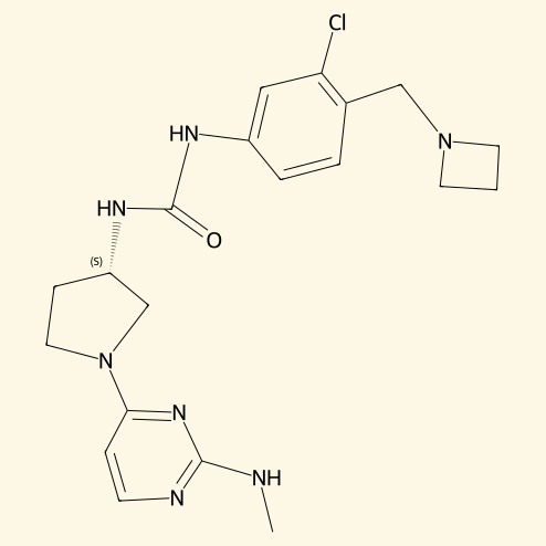 CNc1nccc(N2CC[C@H](NC(=O)Nc3ccc(CN4CCC4)c(Cl)c3)C2)n1